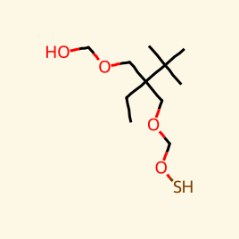 CCC(COCO)(COCOS)C(C)(C)C